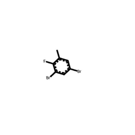 Cc1cc(Br)cc(Br)c1F